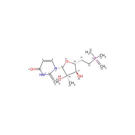 C=C1NC(=O)C=CN1[C@@H]1O[C@H](CCP(=C)(C)C)[C@@H](O)[C@@]1(C)O